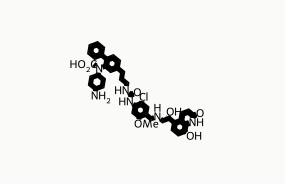 COc1cc(NC(=O)NCCCc2ccc(-c3ccccc3)c(N(C(=O)O)C3CCC(N)CC3)c2)c(Cl)cc1CNC[C@@H](O)c1ccc(O)c2[nH]c(=O)ccc12